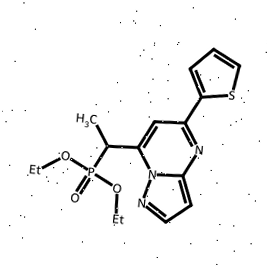 CCOP(=O)(OCC)C(C)c1cc(-c2cccs2)nc2ccnn12